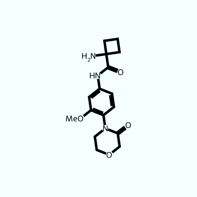 COc1cc(NC(=O)C2(N)CCC2)ccc1N1CCOCC1=O